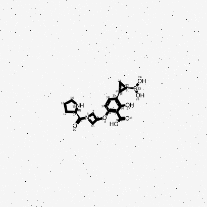 O=C(O)c1c(OC2CN(C(=O)[C@H]3CCCN3)C2)ccc([C@H]2C[C@H]2B(O)O)c1O